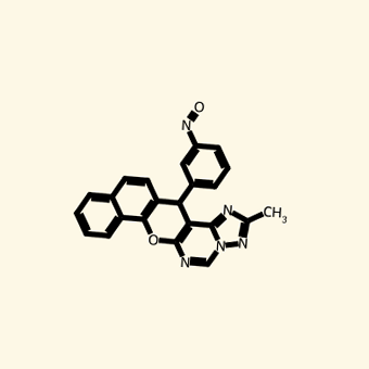 Cc1nc2c3c(ncn2n1)Oc1c(ccc2ccccc12)C3c1cccc(N=O)c1